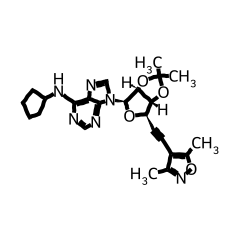 Cc1noc(C)c1C#C[C@H]1O[C@@H](n2cnc3c(NC4CCCC4)ncnc32)[C@H]2OC(C)(C)O[C@@H]21